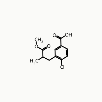 COC(=O)C(C)Cc1cc(C(=O)O)ccc1Cl